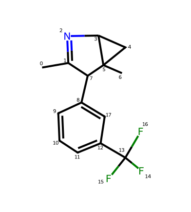 CC1=NC2CC2(C)C1c1cccc(C(F)(F)F)c1